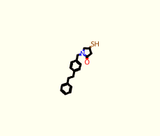 O=C1CC(S)CN1Cc1ccc(CCc2ccccc2)cc1